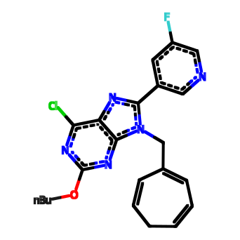 CCCCOc1nc(Cl)c2nc(-c3cncc(F)c3)n(CC3=CC=CCC=C3)c2n1